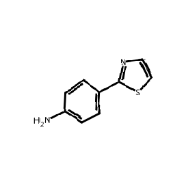 Nc1ccc(-c2n[c]cs2)cc1